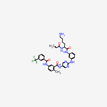 C=CC(=O)NC(CCCCN)C(=O)Nc1cccc(Nc2ncc(NC(=O)c3cc(NC(=O)c4cccc(C(F)(F)F)c4)ccc3C)cn2)c1